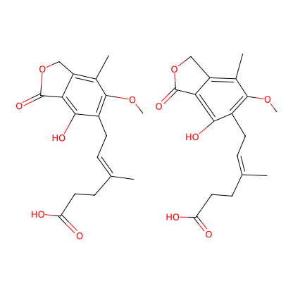 COc1c(C)c2c(c(O)c1C/C=C(\C)CCC(=O)O)C(=O)OC2.COc1c(C)c2c(c(O)c1C/C=C(\C)CCC(=O)O)C(=O)OC2